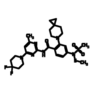 CSN(c1ccc(C(=O)Nc2nc(C)cc(N3CCC(F)(F)CC3)n2)c(N2CCC3(CC2)CC3)c1)S(C)(=O)=O